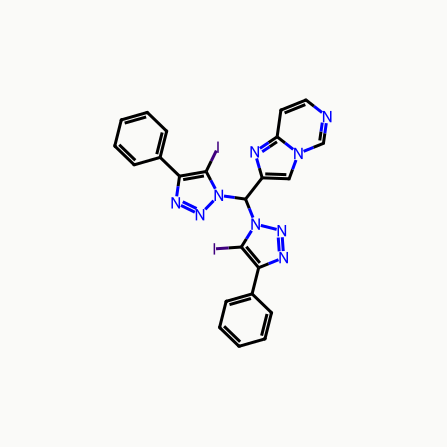 Ic1c(-c2ccccc2)nnn1C(c1cn2cnccc2n1)n1nnc(-c2ccccc2)c1I